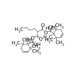 CCCCC(C(=O)OC(O)C1(C)C(C)(C)C=CCC1(C)C)C(=O)OC(O)C1(C)C(C)(C)C=CCC1(C)C